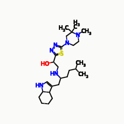 CC(C)CCC(CC1=CNC2CCCCC12)NCC(O)c1nnc(N2CCN(C)C(C)(C)C2)s1